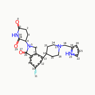 O=C1CCC(N2Cc3c(cc(F)cc3C3CCN(Cc4ccc[nH]4)CC3)C2=O)C(=O)N1